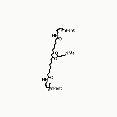 CCCCCC(F)(F)/C=C\CNC(=O)CCCCCCCC(CCCCCCCC(=O)NC/C=C\C(F)(F)CCCCC)OC(=O)CCCNC